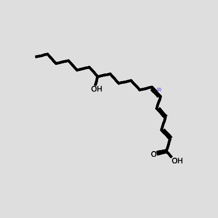 CCCCCCC(O)CCCC/C=C\C=CC=CC(=O)O